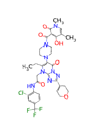 CCc1c(N2CCN(C(=O)c3c(O)c(C)cn(C)c3=O)CC2)c(=O)n2nc(C3=CCOCC3)nc2n1CC(=O)Nc1ccc(C(F)(F)F)cc1Cl